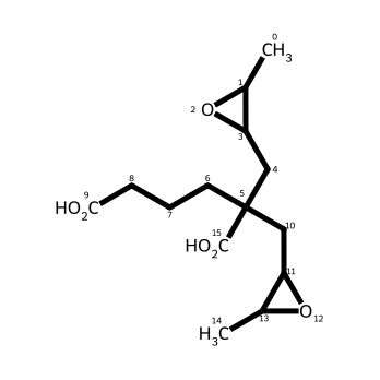 CC1OC1CC(CCCC(=O)O)(CC1OC1C)C(=O)O